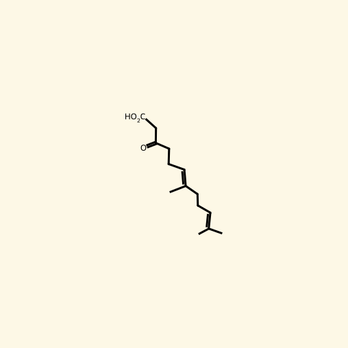 CC(C)=CCC/C(C)=C/CCC(=O)CC(=O)O